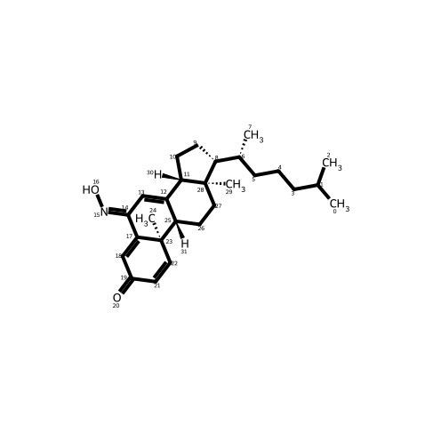 CC(C)CCC[C@@H](C)[C@H]1CC[C@H]2C3=CC(=NO)C4=CC(=O)C=C[C@]4(C)[C@H]3CC[C@]12C